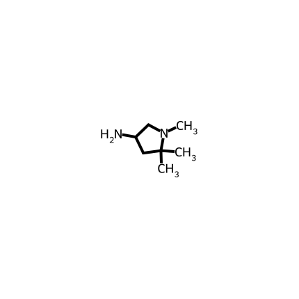 CN1CC(N)CC1(C)C